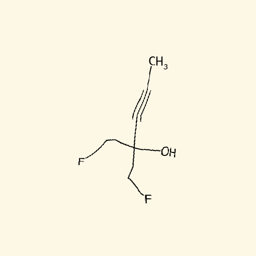 CC#CC(O)(CF)CF